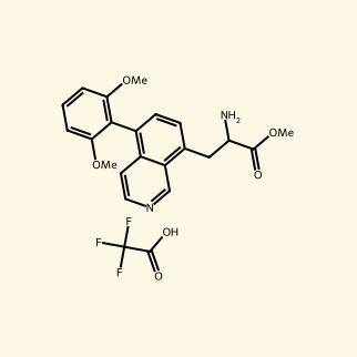 COC(=O)C(N)Cc1ccc(-c2c(OC)cccc2OC)c2ccncc12.O=C(O)C(F)(F)F